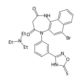 CCN(CC)CC.O=C1CC(=O)N(c2cccc(-c3noc(=S)[nH]3)c2)c2cc(Br)c3ccccc3c2N1